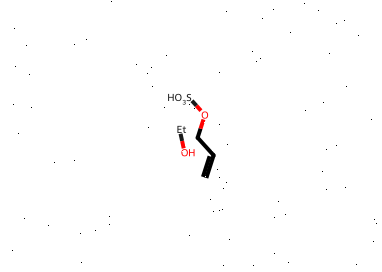 C=CCOS(=O)(=O)O.CCO